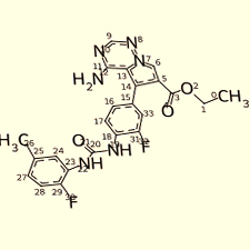 CCOC(=O)c1cn2ncnc(N)c2c1-c1ccc(NC(=O)Nc2cc(C)ccc2F)c(F)c1